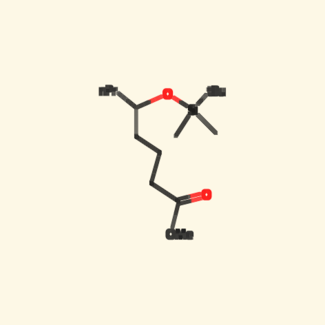 CCCC(CCCC(=O)OC)O[Si](C)(C)C(C)(C)C